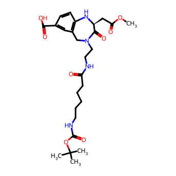 COC(=O)C[C@@H]1Nc2ccc(C(=O)O)cc2CN(CCNC(=O)CCCCCNC(=O)OC(C)(C)C)C1=O